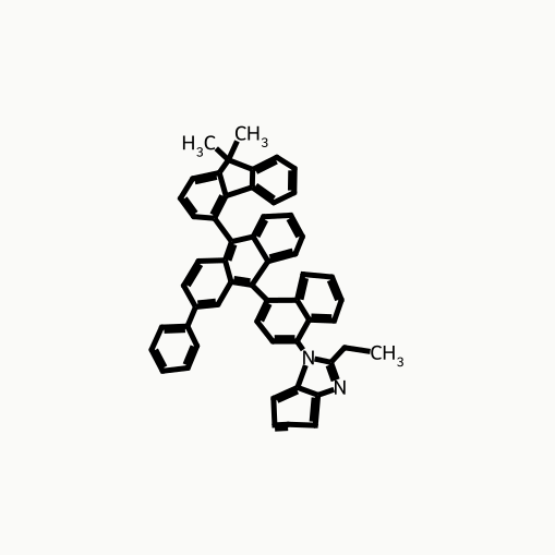 CCc1nc2ccccc2n1-c1ccc(-c2c3ccccc3c(-c3cccc4c3-c3ccccc3C4(C)C)c3ccc(-c4ccccc4)cc23)c2ccccc12